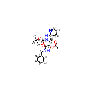 CC(=O)OC(C(=O)NCc1ccccc1)C(Cc1cccnc1)NC(=O)OC(C)(C)C